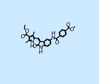 CCOC(=O)c1c(C)[nH]c(C=C2C(=O)Nc3ccc(NC(=O)c4ccc(C(=O)OC)cc4)cc32)c1C